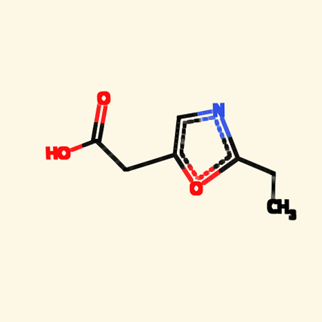 CCc1ncc(CC(=O)O)o1